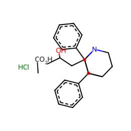 CC(=O)O.CC(O)CC1(c2ccccc2)C(c2ccccc2)C2CCN1CC2.Cl